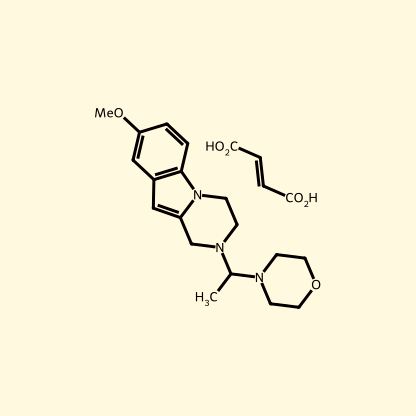 COc1ccc2c(c1)cc1n2CCN(C(C)N2CCOCC2)C1.O=C(O)/C=C/C(=O)O